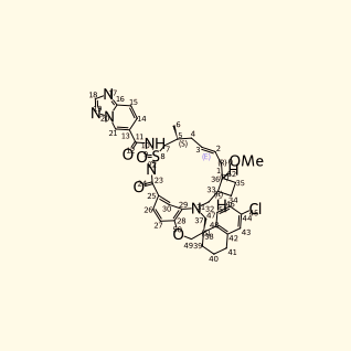 CO[C@H]1/C=C/C[C@H](C)CS(=O)(NC(=O)c2ccc3ncnn3c2)=NC(=O)c2ccc3c(c2)N(C[C@@H]2CC[C@H]21)C[C@@]1(CCCc2cc(Cl)ccc21)CO3